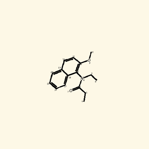 CCC(=O)N(CC)c1c(OC)ccc2ccccc12